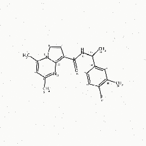 Cc1cc(C)n2ccc(C(=O)NC(C)c3ccc(F)c(C)c3)c2n1